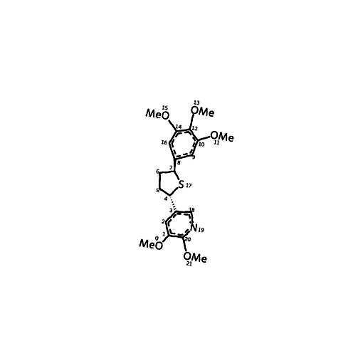 COc1cc([C@@H]2CC[C@@H](c3cc(OC)c(OC)c(OC)c3)S2)cnc1OC